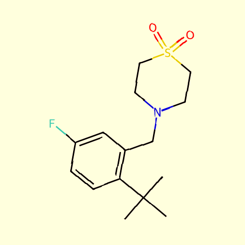 CC(C)(C)c1ccc(F)cc1CN1CCS(=O)(=O)CC1